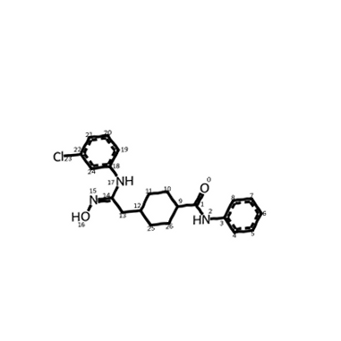 O=C(Nc1ccccc1)C1CCC(C/C(=N\O)Nc2cccc(Cl)c2)CC1